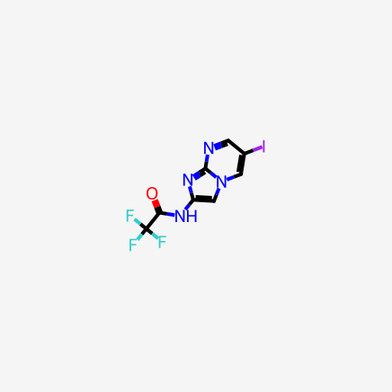 O=C(Nc1cn2cc(I)cnc2n1)C(F)(F)F